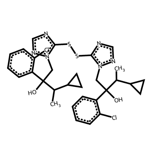 CC(C1CC1)C(O)(Cn1ncnc1SSc1ncnn1CC(O)(c1ccccc1Cl)C(C)C1CC1)c1ccccc1Cl